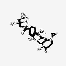 COc1cc(C(=O)NCC(C)(C)CN(C)C)ccc1N(C)c1ncc2c(n1)N(C1CC1)CCC(=O)N2C